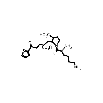 NCCCC[C@H](N)C(=O)N1CCC(C(=O)O)[C@@]1(CCCCC(=O)c1cccs1)C(=O)O